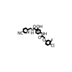 N#Cc1ccc(CNC(=O)C23CCC(NC(=O)COc4ccc(Cl)c(F)c4)(CC2)CC3O)nc1